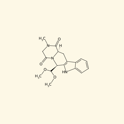 COC(OC)[C@@H]1c2[nH]c3ccccc3c2C[C@@H]2C(=O)N(C)CC(=O)N21